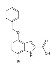 O=C(O)c1cc2c(OCc3ccccc3)ccc(Br)c2[nH]1